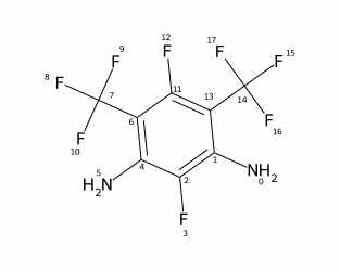 Nc1c(F)c(N)c(C(F)(F)F)c(F)c1C(F)(F)F